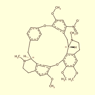 COc1cc([N+](=O)[O-])c2cc1Oc1ccc(cc1)C[C@H]1c3cc(c(OC)cc3CCN1C)Oc1c(OC)c(OC)cc3c1[C@H](C2)N(C)CC3